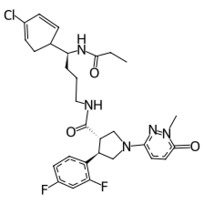 CCC(=O)N[C@@H](CCCNC(=O)[C@@H]1CN(c2ccc(=O)n(C)n2)C[C@H]1c1ccc(F)cc1F)C1C=CC(Cl)=CC1